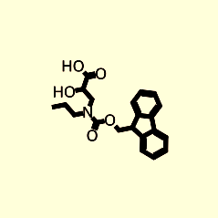 CCCN(CC(O)C(=O)O)C(=O)OCC1c2ccccc2-c2ccccc21